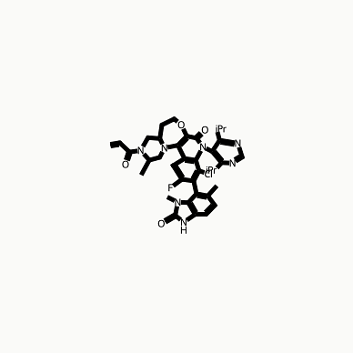 C=CC(=O)N1CC2CCOc3c(c4cc(F)c(-c5c(C)ccc6[nH]c(=O)n(C)c56)c(Cl)c4n(-c4c(C(C)C)ncnc4C(C)C)c3=O)N2CC1C